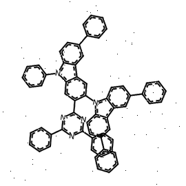 c1ccc(-c2ccc3c(c2)c2cc(-n4c5ccc(-c6ccccc6)cc5c5cc(-c6ccccc6)ccc54)c(-c4nc(-c5ccccc5)nc(-c5ccccc5)n4)cc2n3-c2ccccc2)cc1